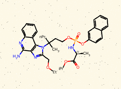 CCCC(C)(CCOP(=O)(N[C@@H](C)C(=O)OC(C)C)Oc1ccc2ccccc2c1)n1c(COCC)nc2c(N)nc3ccccc3c21